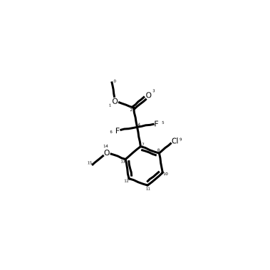 COC(=O)C(F)(F)c1c(Cl)cccc1OC